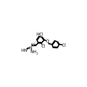 Cl.N=CN(N)/N=C/c1cccc(OCc2ccc(Cl)cc2)c1Cl